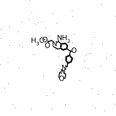 COC(=O)CN1CCc2cc(C(=O)c3ccc(C=NN4CCOCC4)cc3)ccc2C1N